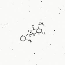 CCc1cc(=O)oc2nc(OCc3ccccc3C#N)[nH]c(=O)c12